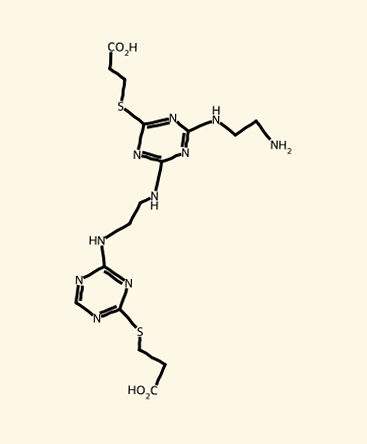 NCCNc1nc(NCCNc2ncnc(SCCC(=O)O)n2)nc(SCCC(=O)O)n1